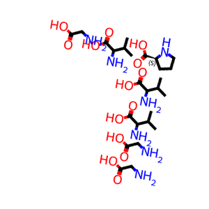 CC(C)C(N)C(=O)O.CC(C)C(N)C(=O)O.CC(C)C(N)C(=O)O.NCC(=O)O.NCC(=O)O.NCC(=O)O.O=C(O)[C@@H]1CCCN1